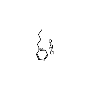 CCCC[n+]1ccccc1.[O]=[Al][Cl]